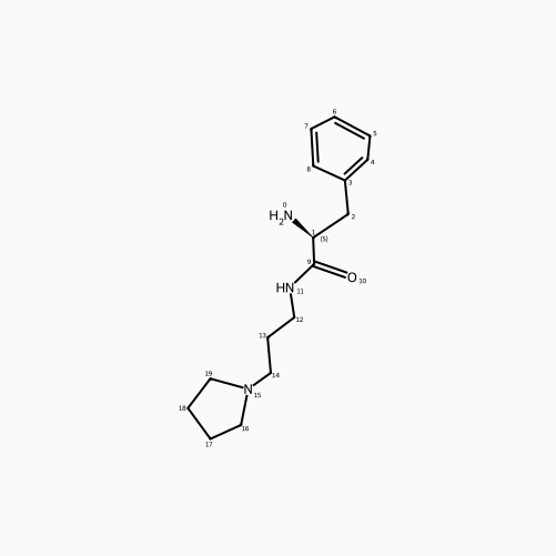 N[C@@H](Cc1ccccc1)C(=O)NCCCN1CCCC1